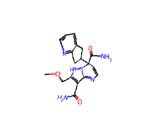 COCC1=C(C(N)=O)C2=NC=CC(C(N)=O)(C3Cc4cccnc4C3)N2N1